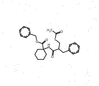 CC(=O)SCC(Cc1ccccc1)C(=O)NC1(C(=O)OCc2ccccc2)CCCCC1